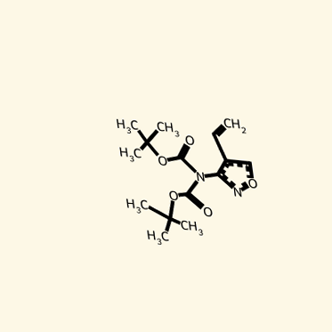 C=Cc1conc1N(C(=O)OC(C)(C)C)C(=O)OC(C)(C)C